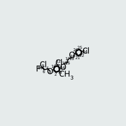 Cc1cc(OC/C=C(/F)Cl)cc(Cl)c1OCCCCOc1ccc(Cl)cc1